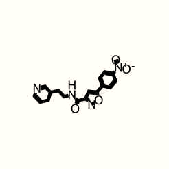 O=C(NCCC1C=NC=CC1)c1cc(-c2ccc([N+](=O)[O-])cc2)on1